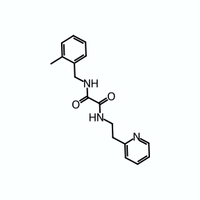 Cc1ccccc1CNC(=O)C(=O)NCCc1ccccn1